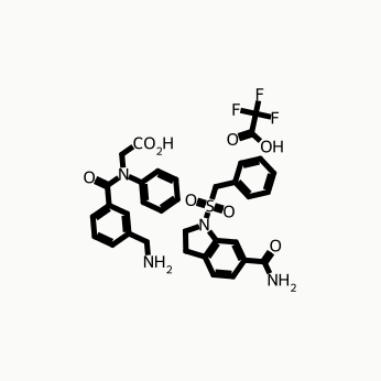 NC(=O)c1ccc2c(c1)N(S(=O)(=O)Cc1ccccc1)CC2.NCc1cccc(C(=O)N(CC(=O)O)c2ccccc2)c1.O=C(O)C(F)(F)F